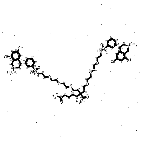 CN1Cc2c(Cl)cc(Cl)cc2[C@H](c2cccc(S(=O)(=O)NCCOCCOCCOCCC(CCCCC(N)=O)(CCOCCOCCOCCNS(=O)(=O)c3cccc([C@@H]4CN(C)Cc5c(Cl)cc(Cl)cc54)c3)C(N)=O)c2)C1